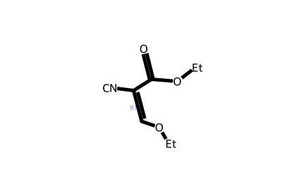 [C-]#[N+]/C(=C/OCC)C(=O)OCC